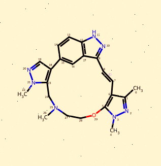 Cc1nn(C)c2c1/C=C/c1n[nH]c3ccc(cc13)-c1cnn(C)c1CN(C)CCO2